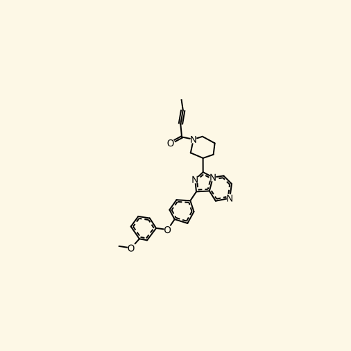 CC#CC(=O)N1CCCC(c2nc(-c3ccc(Oc4cccc(OC)c4)cc3)c3cnccn23)C1